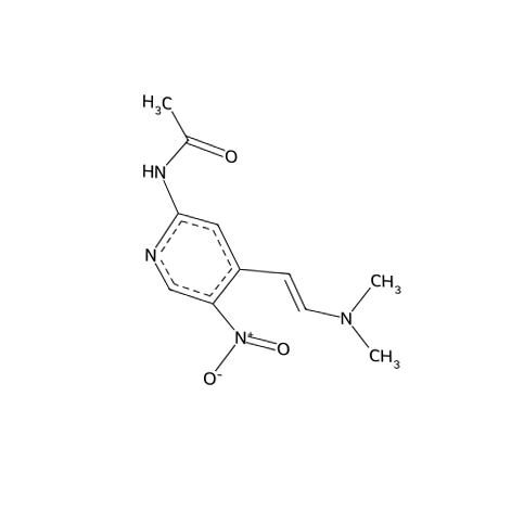 CC(=O)Nc1cc(C=CN(C)C)c([N+](=O)[O-])cn1